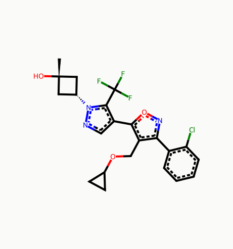 C[C@]1(O)C[C@@H](n2ncc(-c3onc(-c4ccccc4Cl)c3COC3CC3)c2C(F)(F)F)C1